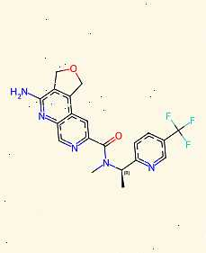 C[C@H](c1ccc(C(F)(F)F)cn1)N(C)C(=O)c1cc2c3c(c(N)nc2cn1)COC3